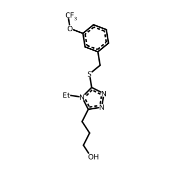 CCn1c(CCCO)nnc1SCc1cccc(OC(F)(F)F)c1